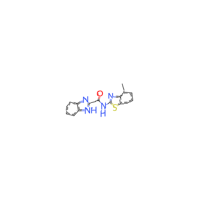 Cc1cccc2sc(NC(=O)c3nc4ccccc4[nH]3)nc12